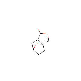 OC1OC[C@]23CCC(CC12)O3